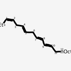 CC/C=C\CC=CCC=CC=CCCCCCCCCC